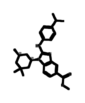 COC(=O)c1ccc2c(c1)nc(Nc1ccc(C(C)C)cc1)n2[C@@H]1C[C@H](C)CC(C)(C)C1